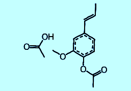 CC(=O)O.CC=Cc1ccc(OC(C)=O)c(OC)c1